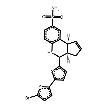 NS(=O)(=O)c1ccc2c(c1)[C@H]1C=CC[C@H]1[C@@H](c1ccc(-c3ccc(Br)s3)s1)N2